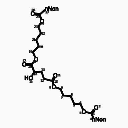 CCCCCCCCCC(=O)OCCCCCOC(=O)CCC(O)C(=O)OCCCCCOC(=O)CCCCCCCCC